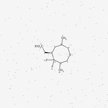 CCOC(=O)C[C@H]1CC(C)COCC(C)C1(F)F